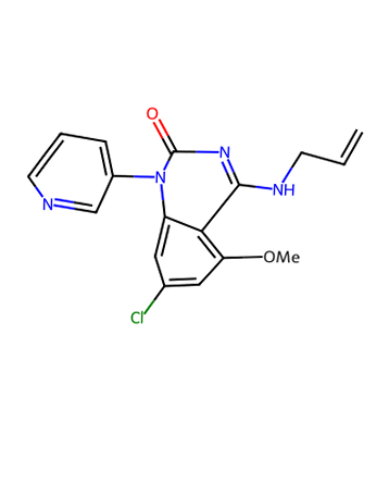 C=CCNc1nc(=O)n(-c2cccnc2)c2cc(Cl)cc(OC)c12